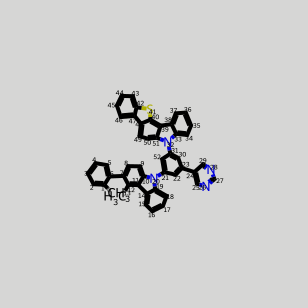 Cc1ccccc1-c1ccc2c(c1C)c1ccccc1n2-c1cc(-c2cncnc2)cc(-n2c3ccccc3c3c4sc5ccccc5c4ccc32)c1